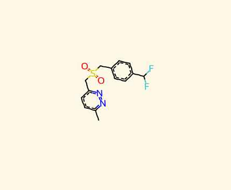 Cc1ccc(CS(=O)(=O)Cc2ccc(C(F)F)cc2)nn1